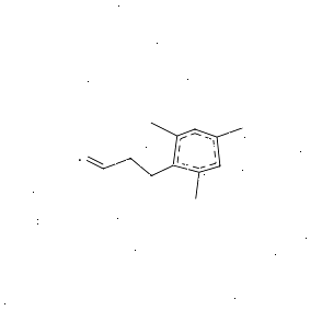 [CH]=CCCc1c(C)cc(C)cc1C